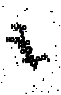 NC(=O)/C=C/CC[C@H](NC(=O)O)C(=O)Nc1cccn(Cc2nc3c(OCC(F)(F)F)cc(F)cc3[nH]2)c1=O